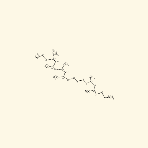 CCCCC(C)CC(C)CCCCCC(C)CC(C)CC(C)CC(C)CCC